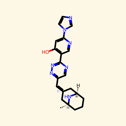 C[C@]12CCC[C@H](C/C(=C\c3cnc(-c4cnc(-n5ccnc5)cc4O)nn3)C1)N2